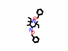 CCC1(C)CC(=NOCc2ccccc2)C(C)C(C)(CC)N1OCc1ccccc1